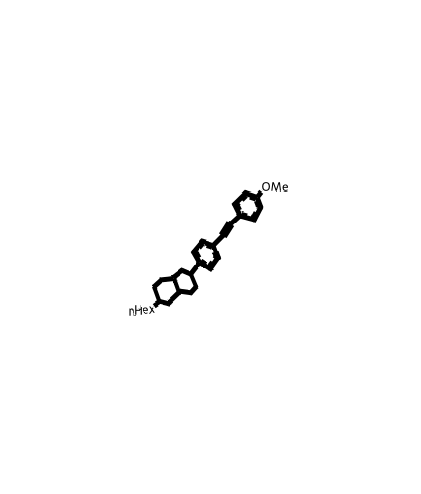 CCCCCCC1CCC2CC(c3ccc(C#Cc4ccc(OC)cc4)cc3)CCC2C1